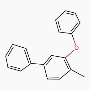 Cc1ccc(-c2ccccc2)cc1Oc1ccccc1